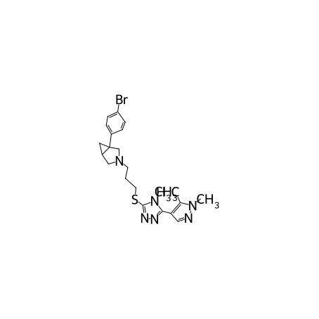 Cc1c(-c2nnc(SCCCN3CC4CC4(c4ccc(Br)cc4)C3)n2C)cnn1C